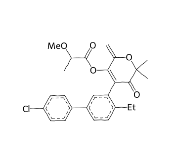 C=C1OC(C)(C)C(=O)C(c2cc(-c3ccc(Cl)cc3)ccc2CC)=C1OC(=O)C(C)OC